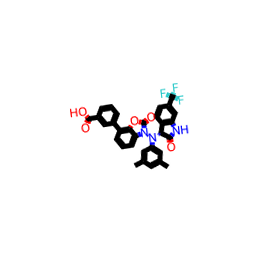 Cc1cc(C)cc([N+](=C2C(=O)Nc3cc(C(F)(F)F)ccc32)n2c(=O)oc3c(-c4cccc(C(=O)O)c4)cccc32)c1